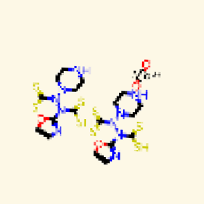 S=C(S)N(c1ncco1)N(C(=S)[S-])N1CCNCC1.S=C(S)N(c1ncco1)N(C(=S)[S-])N1CCNCC1.[O]=[Mo+2]=[O]